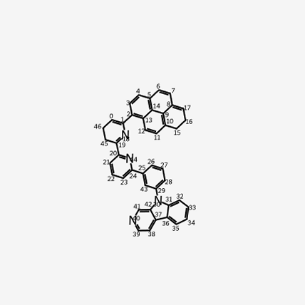 C1=C(c2ccc3ccc4c5c(ccc2c35)CCC=4)N=C(c2cccc(-c3cccc(-n4c5ccccc5c5ccncc54)c3)n2)CC1